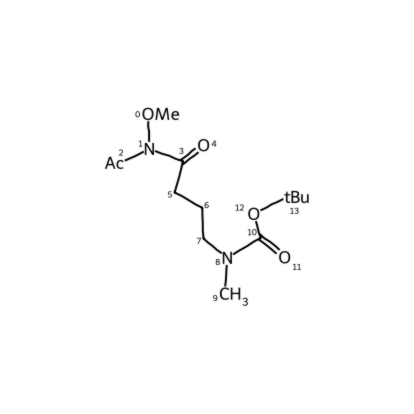 CON(C(C)=O)C(=O)CCCN(C)C(=O)OC(C)(C)C